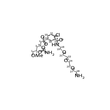 COCCCC(CS(=O)(=O)c1ccc(Cl)c(C(=O)NCCOCCOCCOCCN)c1)OC(N)=O